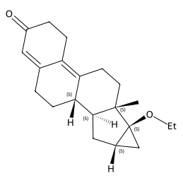 CCO[C@@]12C[C@@H]1C[C@H]1[C@@H]3CCC4=CC(=O)CCC4=C3CC[C@@]12C